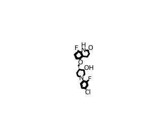 O=C1CCc2c(OC[C@H]3CCN(c4ccc(Cl)cc4F)C[C@@H]3O)ccc(F)c2N1